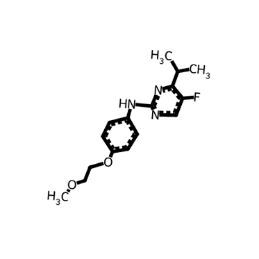 COCCOc1ccc(Nc2ncc(F)c(C(C)C)n2)cc1